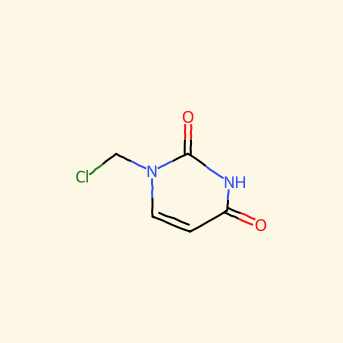 O=c1ccn(CCl)c(=O)[nH]1